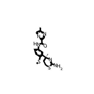 CSc1ccc(NC(=O)c2cnc(C)cn2)cc1[C@]1(C)CCSC(N)=N1